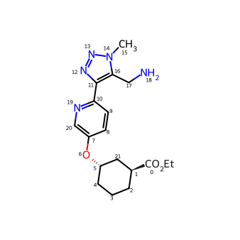 CCOC(=O)[C@H]1CCC[C@H](Oc2ccc(-c3nnn(C)c3CN)nc2)C1